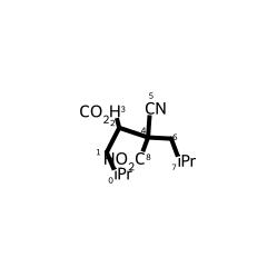 CC(C)CC(C(=O)O)C(C#N)(CC(C)C)C(=O)O